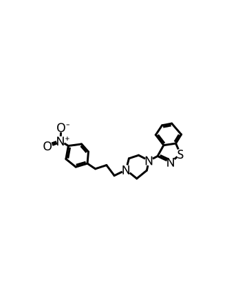 O=[N+]([O-])c1ccc(CCCN2CCN(c3nsc4ccccc34)CC2)cc1